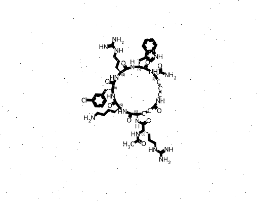 CC(=O)N[C@@H](CCCNC(=N)N)C(=O)N[C@H]1CCC(=O)NCCC[C@@H](C(N)=O)NC(=O)[C@H](Cc2c[nH]c3ccccc23)NC(=O)[C@H](CCCNC(=N)N)NC(=O)[C@@H](Cc2cccc(Cl)c2)NC(=O)[C@H](CCCCN)NC1=O